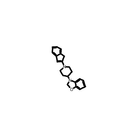 C1=C(N2CCC(N3COc4ccccc43)CC2)Cc2ccccc21